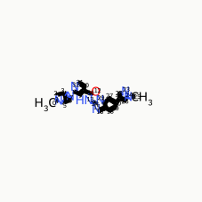 CN1CC2CC1CN2c1cc(C(=O)Nc2ncc3ccc(-c4cnn(C)c4)cc3n2)ccn1